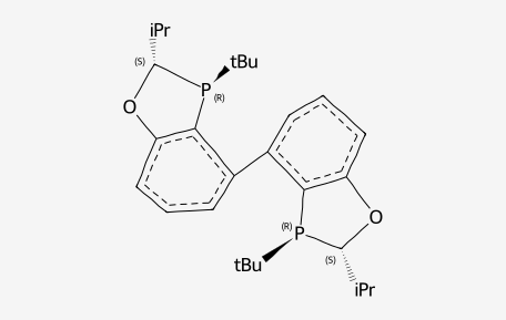 CC(C)[C@H]1Oc2cccc(-c3cccc4c3[P@](C(C)(C)C)[C@@H](C(C)C)O4)c2[P@]1C(C)(C)C